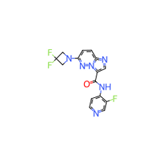 O=C(Nc1ccncc1F)c1cnc2ccc(N3CC(F)(F)C3)nn12